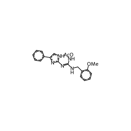 COc1ccccc1CNC(=Nc1nc(-c2ccccc2)c[nH]1)NOC(C)=O